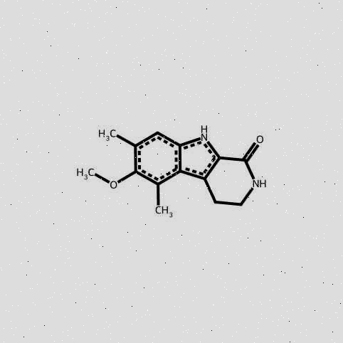 COc1c(C)cc2[nH]c3c(c2c1C)CCNC3=O